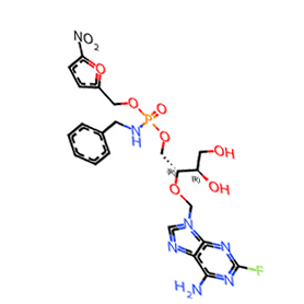 Nc1nc(F)nc2c1ncn2CO[C@H](COP(=O)(NCc1ccccc1)OCc1ccc([N+](=O)[O-])o1)[C@H](O)CO